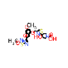 COc1cc(OCc2csc(C3(O)CCN(C(=O)O)CC3)n2)c2cc(-c3cnc4sc(OC)nn34)oc2c1